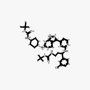 CC(C)(C)OC(=O)NCCC(Nc1nccc(-c2n[nH]c3nc(N[C@H]4CC[C@H](NC(=O)OC(C)(C)C)CC4)ncc23)n1)c1cccc(Cl)c1